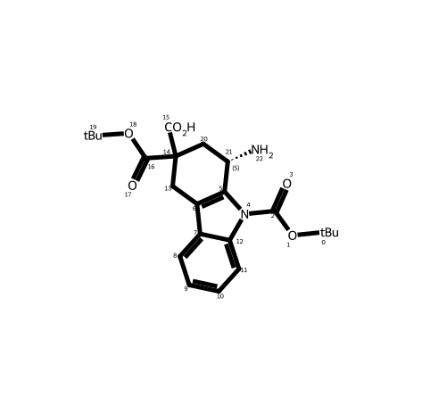 CC(C)(C)OC(=O)n1c2c(c3ccccc31)CC(C(=O)O)(C(=O)OC(C)(C)C)C[C@@H]2N